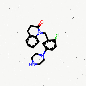 O=C1CCc2ccccc2N1Cc1cc(N2CCNCC2)ccc1Cl